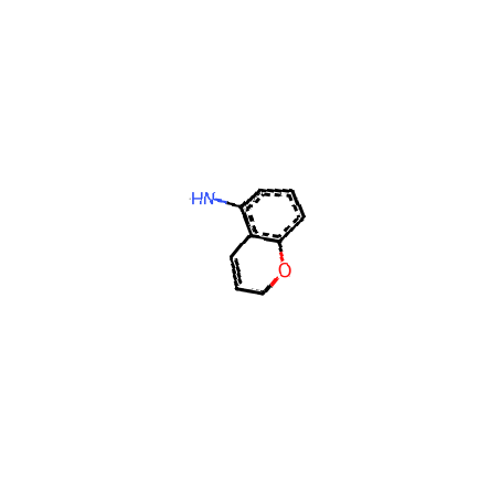 [NH]c1cccc2c1C=CCO2